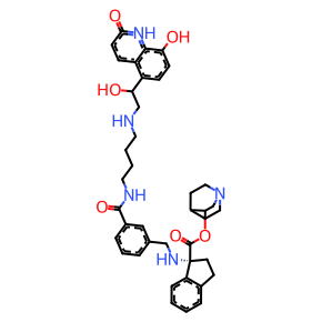 O=C(NCCCCNCC(O)c1ccc(O)c2[nH]c(=O)ccc12)c1cccc(CN[C@]2(C(=O)OC3CN4CCC3CC4)CCc3ccccc32)c1